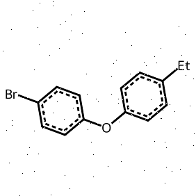 CCc1ccc(Oc2ccc(Br)cc2)cc1